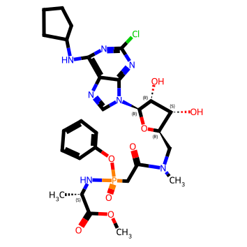 COC(=O)[C@H](C)NP(=O)(CC(=O)N(C)C[C@H]1O[C@@H](n2cnc3c(NC4CCCC4)nc(Cl)nc32)[C@H](O)[C@@H]1O)Oc1ccccc1